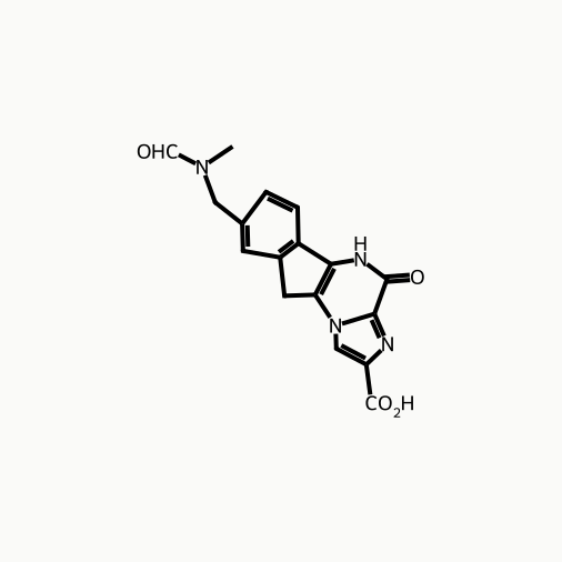 CN(C=O)Cc1ccc2c(c1)Cc1c-2[nH]c(=O)c2nc(C(=O)O)cn12